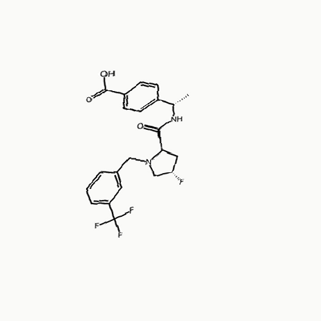 C[C@H](NC(=O)[C@H]1C[C@H](F)CN1Cc1cccc(C(F)(F)F)c1)c1ccc(C(=O)O)cc1